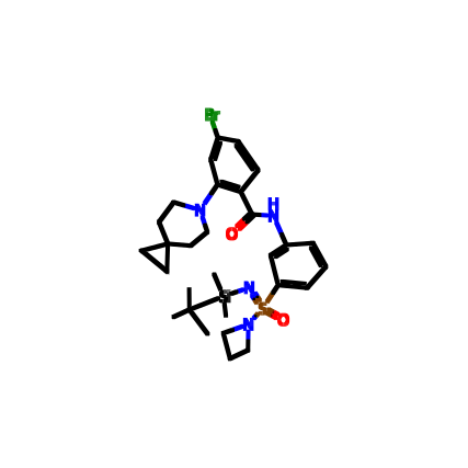 CC(C)(C)[Si](C)(C)N=S(=O)(c1cccc(NC(=O)c2ccc(Br)cc2N2CCC3(CC2)CC3)c1)N1CCC1